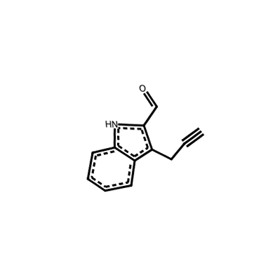 C#CCc1c(C=O)[nH]c2ccccc12